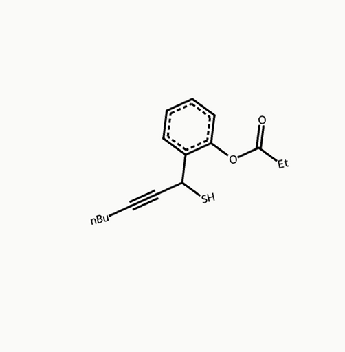 CCCCC#CC(S)c1ccccc1OC(=O)CC